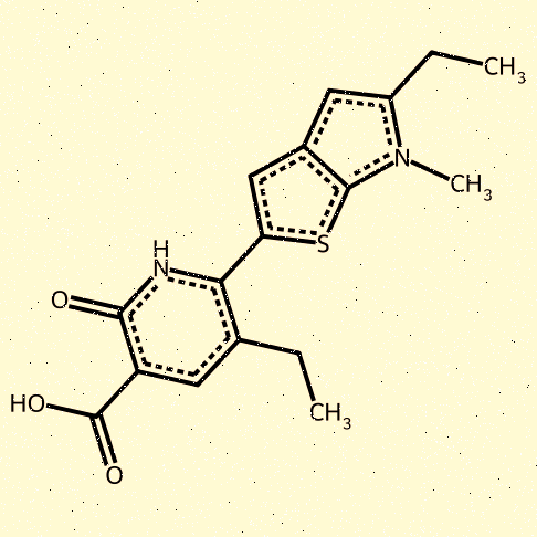 CCc1cc(C(=O)O)c(=O)[nH]c1-c1cc2cc(CC)n(C)c2s1